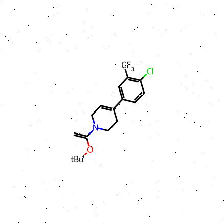 C=C(OC(C)(C)C)N1CC=C(c2ccc(Cl)c(C(F)(F)F)c2)CC1